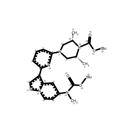 C[C@@H]1CN(c2cccc(-c3cnn4ccc(N(C)C(=O)OC(C)(C)C)cc34)n2)C[C@H](C)N1C(=O)OC(C)(C)C